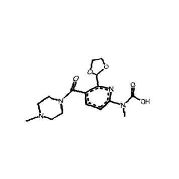 CN1CCN(C(=O)c2ccc(N(C)C(=O)O)nc2C2OCCO2)CC1